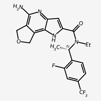 CCN(C(=O)c1cc2nc(N)c3c(c2[nH]1)COC3)[C@@H](C)c1ccc(C(F)(F)F)cc1F